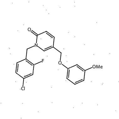 COc1cccc(OCc2ccc(=O)n(Cc3ccc(Cl)cc3F)c2)c1